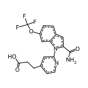 NC(=O)c1cc2ccc(OC(F)(F)F)cc2n1-c1cc(CCC(=O)O)ccn1